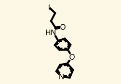 O=C(CCI)Nc1ccc(Oc2ccncc2)cc1